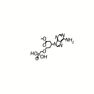 COC(=O)CC(CCOCP(=O)(O)O)n1cnc2c(N)ncnc21